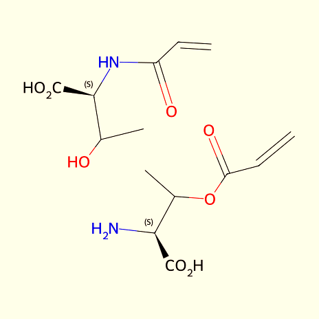 C=CC(=O)N[C@H](C(=O)O)C(C)O.C=CC(=O)OC(C)[C@H](N)C(=O)O